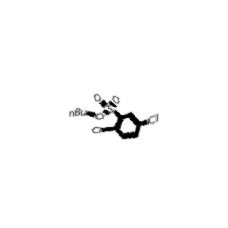 CCCCOS(=O)(=O)c1cc(Cl)ccc1Cl